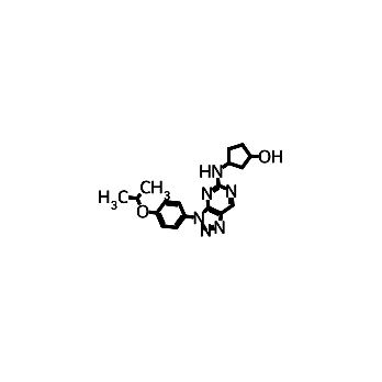 CC(C)Oc1ccc(-n2nnc3cnc(NC4CCC(O)C4)nc32)cc1